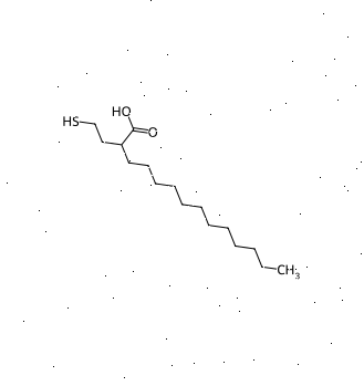 CCCCCCCCCCCCC(CCS)C(=O)O